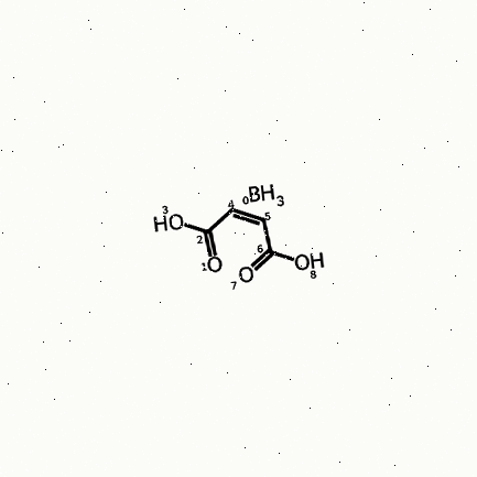 B.O=C(O)/C=C\C(=O)O